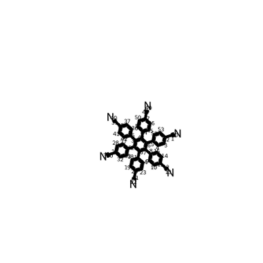 N#Cc1ccc(-c2c(-c3ccc(C#N)cc3)c(-c3ccc(C#N)cc3)c(-c3ccc(C#N)cc3)c(-c3ccc(C#N)cc3)c2-c2ccc(C#N)cc2)cc1